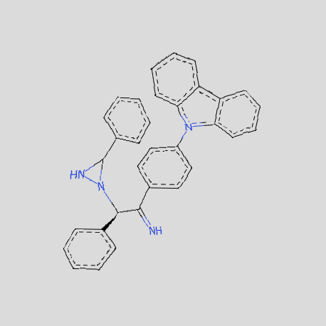 N=C(c1ccc(-n2c3ccccc3c3ccccc32)cc1)[C@@H](c1ccccc1)N1NC1c1ccccc1